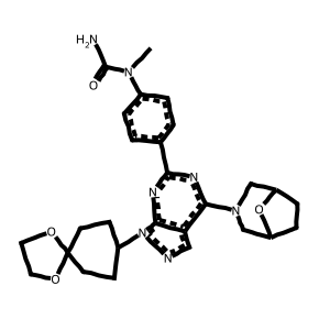 CN(C(N)=O)c1ccc(-c2nc(N3CC4CCC(C3)O4)c3cnn(C4CCC5(CC4)OCCO5)c3n2)cc1